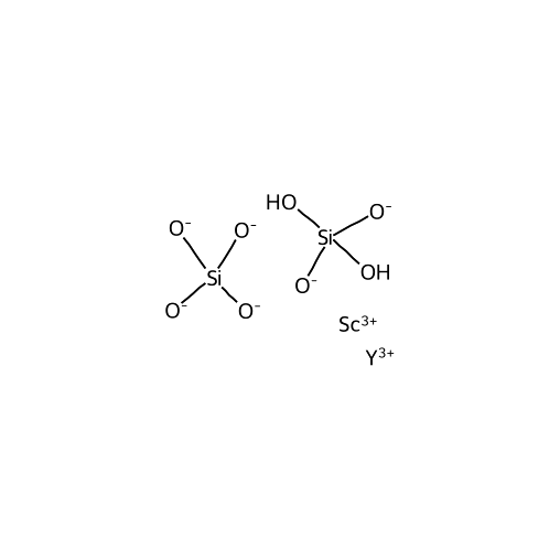 [O-][Si]([O-])(O)O.[O-][Si]([O-])([O-])[O-].[Sc+3].[Y+3]